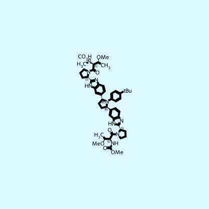 COC(=O)N[C@H](C(=O)N1CCC[C@H]1c1nc2ccc([C@H]3CC[C@H](c4ccc5nc([C@@H]6CCCN6C(=O)[C@H]([C@@H](C)OC)N(C)C(=O)O)[nH]c5c4)N3c3ccc(C(C)(C)C)cc3)cc2[nH]1)[C@@H](C)OC